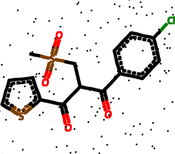 CS(=O)(=O)CC(C(=O)c1ccc(Cl)cc1)C(=O)c1cccs1